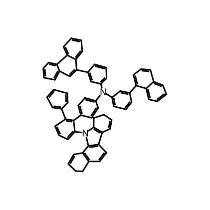 C1=Cc2c(ccc3c4c(n(-c5cccc(-c6ccccc6)c5-c5ccc(N(c6cccc(-c7cccc8ccccc78)c6)c6cccc(-c7cc8ccccc8c8ccccc78)c6)cc5)c23)CCC=C4)CC1